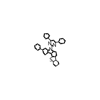 C1=CC2Sc3c(ccc4c3c3ccc(-c5ccccc5)cc3n4-c3nc(-c4ccccc4)cc(-c4ccccc4)n3)C2C=C1